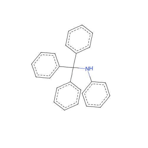 c1ccc(NC(c2ccccc2)(c2ccccc2)c2ccccc2)cc1